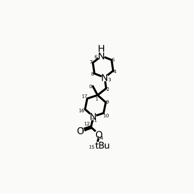 CC1(CN2CCNCC2)CCN(C(=O)OC(C)(C)C)CC1